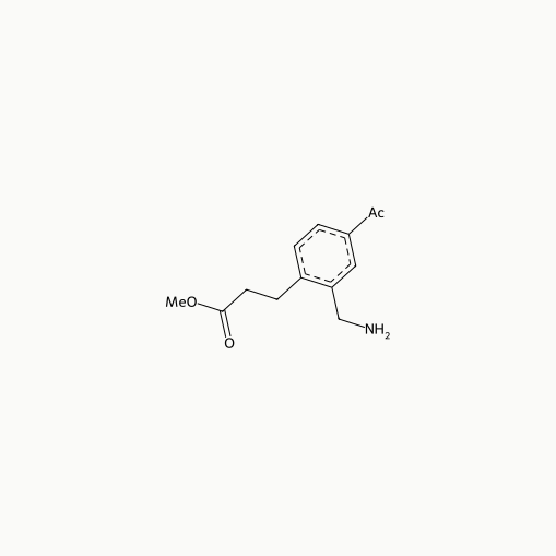 COC(=O)CCc1ccc(C(C)=O)cc1CN